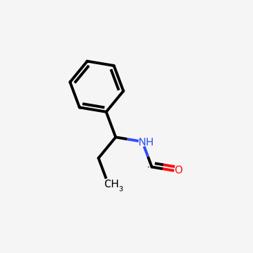 CCC(N[C]=O)c1ccccc1